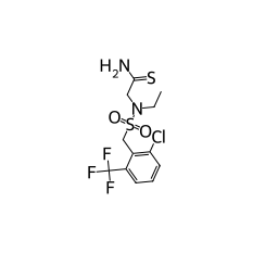 CCN(CC(N)=S)S(=O)(=O)Cc1c(Cl)cccc1C(F)(F)F